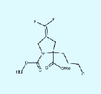 COC(=O)C1(CCCCl)CC(=C(F)F)CN1C(=O)OC(C)(C)C